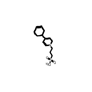 O=S(=O)(O)CCCN1C=CC(C2CC=CCC2)=CC1